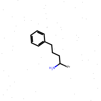 CC(C)C(N)CCCc1ccccc1